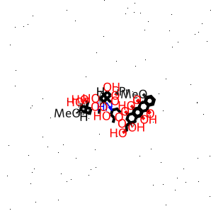 COc1cccc2c1C(=O)c1c(O)c3c(c(O)c1C2=O)C[C@](O)(C(=O)CO)CC3OC1CC(NC(=O)C23C(OC(C)C)C(O)[C@H]2[C@@H](O)[C@@H]3OC(C)OC2C[C@H]3[C@@H](OC)[C@H](O)C23CO)C(O)C(C)O1